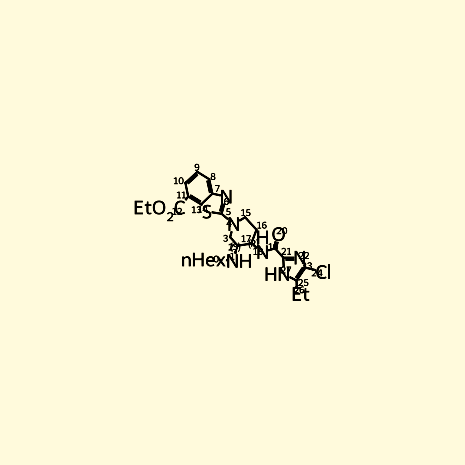 CCCCCCN[C@H]1CN(c2nc3cccc(C(=O)OCC)c3s2)CC[C@H]1NC(=O)c1nc(Cl)c(CC)[nH]1